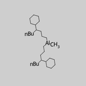 CCCCC(CC[CH2][Al]([CH3])[CH2]CCC(CCCC)C1CCCCC1)C1CCCCC1